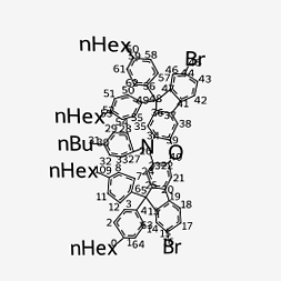 CCCCCCc1ccc(C2(c3ccc(CCCCCC)cc3)c3cc(Br)ccc3-c3cc4c(cc32)N(c2ccc(CCCC)cc2)c2cc3c(cc2O4)-c2ccc(Br)cc2C3(c2ccc(CCCCCC)cc2)c2ccc(CCCCCC)cc2)cc1